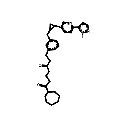 O=C(CCCC(=O)C1CCCCCC1)CCc1cccc(CC2CC2c2ccc(-c3ccn[nH]3)nc2)c1